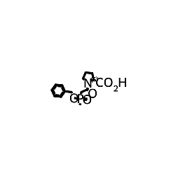 CP(=O)(CC(=O)N1CCC[C@H]1C(=O)O)OCc1ccccc1